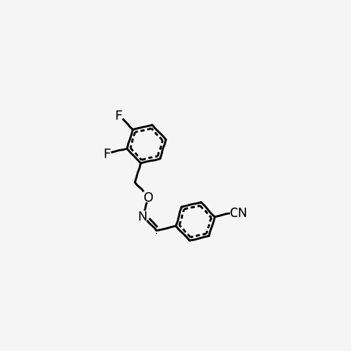 N#Cc1ccc(/[C]=N\OCc2cccc(F)c2F)cc1